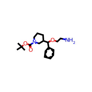 CC(C)(C)OC(=O)N1CCCC(C(OCCN)c2ccccc2)C1